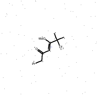 CO/C(=C\C(=O)CC(C)C)C(C)(C)C(F)(F)F